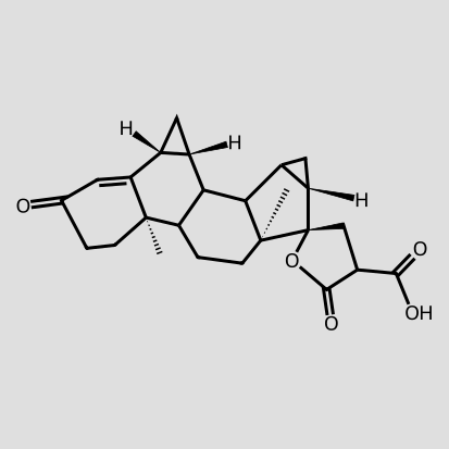 C[C@]12CCC(=O)C=C1[C@@H]1C[C@@H]1C1C2CC[C@@]2(C)C1C1C[C@@H]1[C@@]21CC(C(=O)O)C(=O)O1